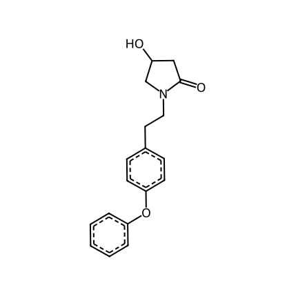 O=C1CC(O)CN1CCc1ccc(Oc2ccccc2)cc1